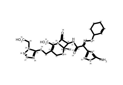 Nc1nc(C(=NOC2C=CCCC2)C(=O)NC2C(=O)N3C(C(=O)O)=C(CSc4nnnn4CC(=O)O)CS[C@@H]23)ns1